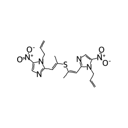 C=CCn1c([N+](=O)[O-])cnc1C=C(C)SC(C)=Cc1ncc([N+](=O)[O-])n1CC=C